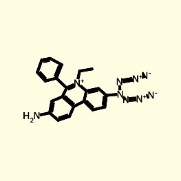 CC[n+]1c(-c2ccccc2)c2cc(N)ccc2c2ccc(N(N=[N+]=[N-])N=[N+]=[N-])cc21